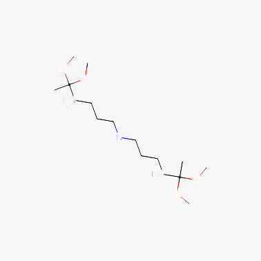 COC(C)(OC)[SiH2]CCCNCCC[SiH2]C(C)(OC)OC